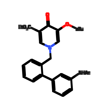 CCCCOc1cn(Cc2ccccc2-c2cccc(NC(C)=O)c2)cc(C(=O)OCC)c1=O